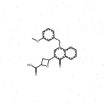 COc1cccc(Cn2cc(C3CC(C(=O)O)O3)c(=O)c3ccccc32)c1